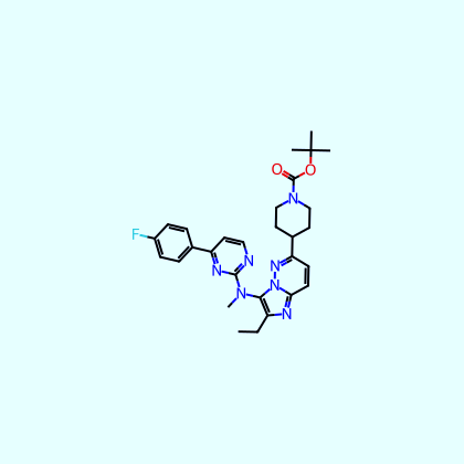 CCc1nc2ccc(C3CCN(C(=O)OC(C)(C)C)CC3)nn2c1N(C)c1nccc(-c2ccc(F)cc2)n1